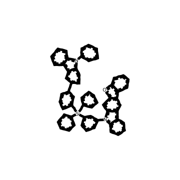 c1ccc(-n2c3ccccc3c3cc(-c4cccc([Si](c5ccccc5)(c5ccccc5)c5cccc(-n6c7ccccc7c7cc8c(cc76)oc6ccccc68)c5)c4)ccc32)cc1